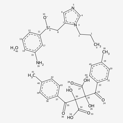 CCCn1cncc1C[S+]([O-])c1cccc(N)c1.Cc1ccc(C(=O)C(O)(C(=O)O)C(O)(C(=O)O)C(=O)c2ccc(C)cc2)cc1.O